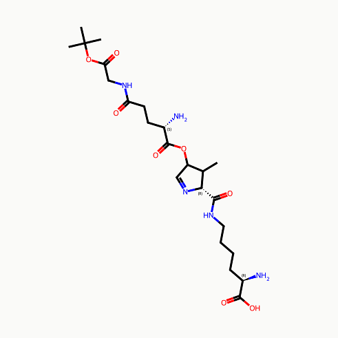 CC1C(OC(=O)[C@@H](N)CCC(=O)NCC(=O)OC(C)(C)C)C=N[C@H]1C(=O)NCCCC[C@@H](N)C(=O)O